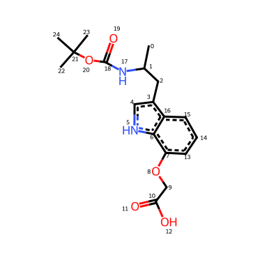 CC(Cc1c[nH]c2c(OCC(=O)O)cccc12)NC(=O)OC(C)(C)C